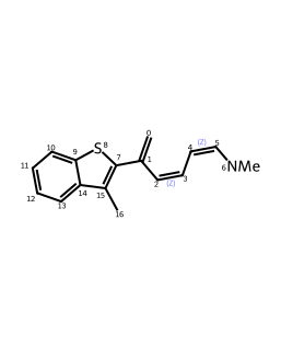 C=C(/C=C\C=C/NC)c1sc2ccccc2c1C